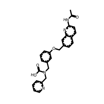 CC(=O)Nc1ccc2ccc(COc3cccc(CN(Cc4ccccn4)C(=O)O)c3)cc2n1